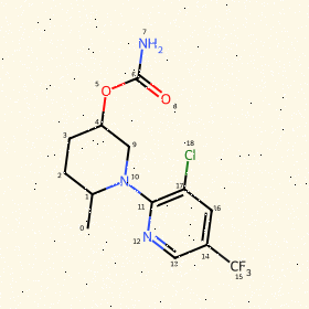 CC1CCC(OC(N)=O)CN1c1ncc(C(F)(F)F)cc1Cl